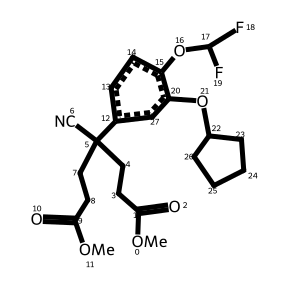 COC(=O)CCC(C#N)(CCC(=O)OC)c1ccc(OC(F)F)c(OC2CCCC2)c1